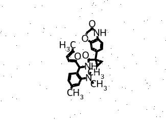 Cc1ccc(C(NC(=O)C2(c3ccc4c(c3)OCC(=O)N4)CC2)c2ccc(C)o2)c(N(C)C)c1